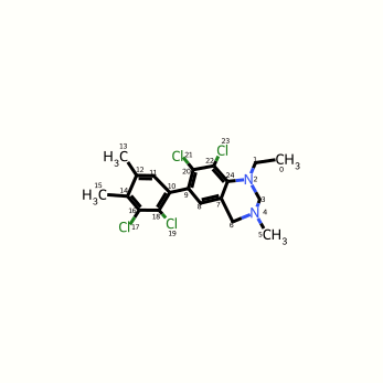 CCN1CN(C)Cc2cc(-c3cc(C)c(C)c(Cl)c3Cl)c(Cl)c(Cl)c21